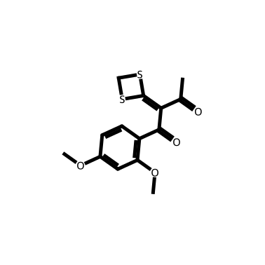 COc1ccc(C(=O)C(C(C)=O)=C2SCS2)c(OC)c1